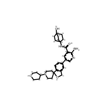 Nc1ncc(-c2ccc3c(c2)COC32CCN(C3CCOCC3)CC2)cc1C(=O)NC12CCC(O)(CC1)CC2